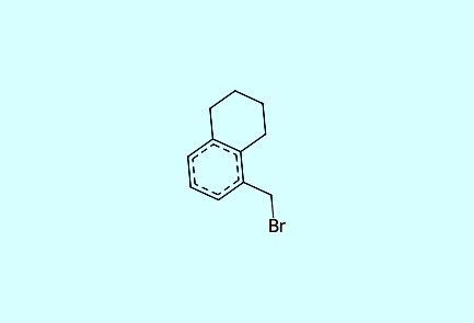 BrCc1cccc2c1CCCC2